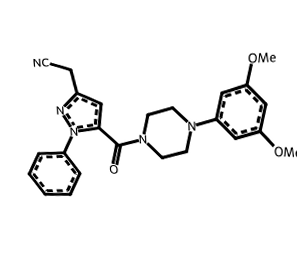 COc1cc(OC)cc(N2CCN(C(=O)c3cc(CC#N)nn3-c3ccccc3)CC2)c1